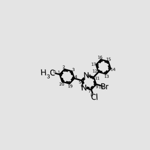 Cc1ccc(-c2nc(Cl)c(Br)c(-c3ccccc3)n2)cc1